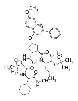 CCC[C@H](NC(=O)[C@@H]1C[C@@H](Oc2cc(-c3ccccc3)nc3cc(OC)ccc23)C[C@H]1C(=O)N[C@H](C(=O)NC(C(=O)NC)C1CCCCC1)C(C)(C)C)C(=O)OC(C)(C)C